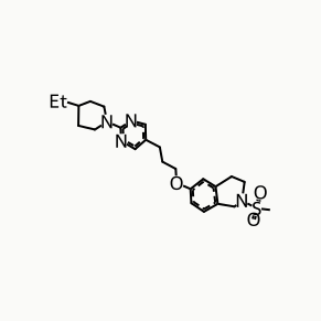 CCC1CCN(c2ncc(CCCOc3ccc4c(c3)CCN(S(C)(=O)=O)C4)cn2)CC1